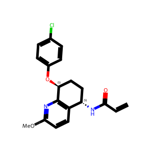 C=CC(=O)N[C@H]1CC[C@H](Oc2ccc(Cl)cc2)c2nc(OC)ccc21